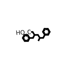 CC(Cc1ccccc1)CC(CC(=O)O)Cc1ccccc1